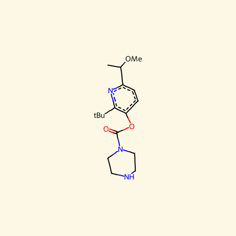 COC(C)c1ccc(OC(=O)N2CCNCC2)c(C(C)(C)C)n1